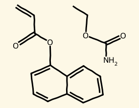 C=CC(=O)Oc1cccc2ccccc12.CCOC(N)=O